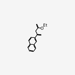 C=C(CC(=C)c1ccc2ccccc2c1)OCC